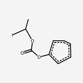 CC(I)OC(=O)Oc1ccccc1